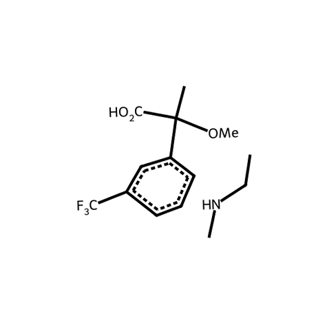 CCNC.COC(C)(C(=O)O)c1cccc(C(F)(F)F)c1